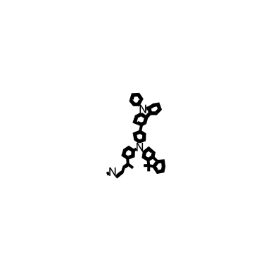 C=N/C=C\C=C(/C)c1cccc(N(c2ccc(-c3ccc4c(c3)c3ccccc3n4-c3ccccc3)cc2)c2ccc3c(c2)C(C)(C)c2ccccc2-3)c1